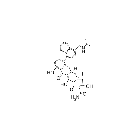 CC(C)NCc1ccc(-c2ccc(O)c3c2C[C@H]2C[C@H]4CC(O)=C(C(N)=O)C(=O)C4C(O)=C2C3=O)c2ccccc12